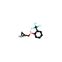 FC(F)(F)c1ccccc1OCC1BC1